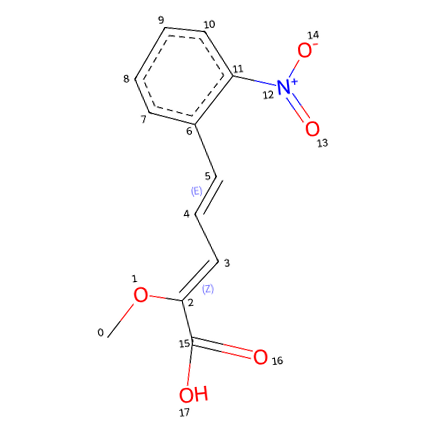 CO/C(=C\C=C\c1ccccc1[N+](=O)[O-])C(=O)O